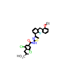 CCOc1ccccc1Cc1cccc(-c2csc(NC(=O)c3cc(Cl)c(C=C(C)C(=O)O)c(Cl)c3)n2)c1F